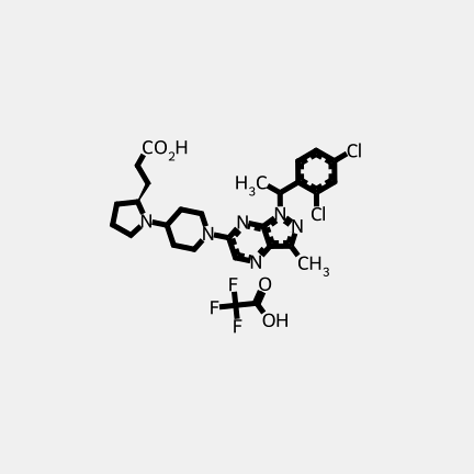 Cc1nn(C(C)c2ccc(Cl)cc2Cl)c2nc(N3CCC(N4CCC[C@H]4CCC(=O)O)CC3)cnc12.O=C(O)C(F)(F)F